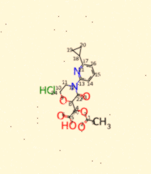 CC(=O)O[C@@H](C(=O)O)C1OCCN(c2cccc(C3CC3)n2)C1=O.Cl